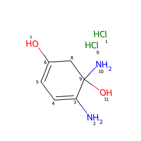 Cl.Cl.NC1=CC=C(O)CC1(N)O